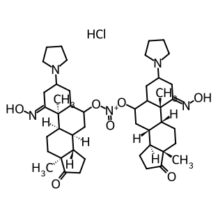 C[C@]12C(=NO)CC(N3CCCC3)CC1C(O[N+](=O)OC1C[C@@H]3[C@@H](CC[C@]4(C)C(=O)CC[C@@H]34)[C@@]3(C)C(=NO)CC(N4CCCC4)CC13)C[C@@H]1[C@H]2CC[C@]2(C)C(=O)CC[C@@H]12.Cl